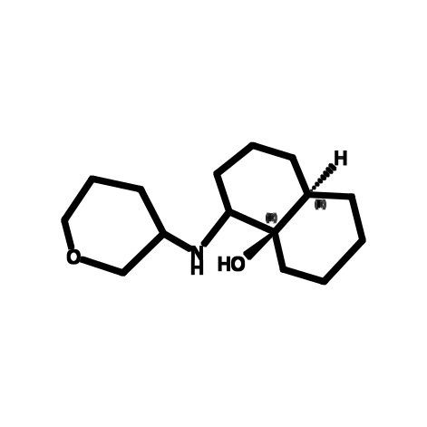 O[C@]12CCCC[C@@H]1CCCC2NC1CCCOC1